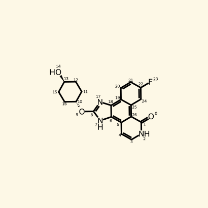 O=c1[nH]ccc2c3[nH]c(O[C@H]4CC[C@H](O)CC4)nc3c3ccc(F)cc3c12